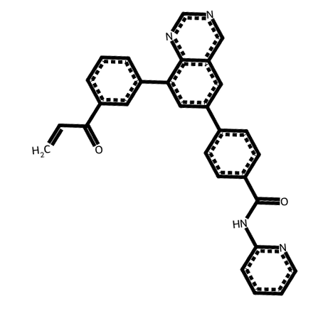 C=CC(=O)c1cccc(-c2cc(-c3ccc(C(=O)Nc4ccccn4)cc3)cc3cncnc23)c1